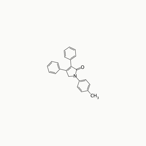 Cc1ccc(N2CC(c3ccccc3)=C(c3ccccc3)C2=O)cc1